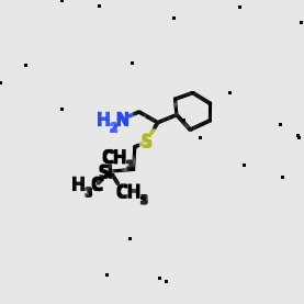 C[Si](C)(C)CCSC(CN)C1CCCCC1